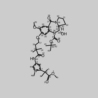 COC(=O)C(C)(C)c1cc(NC(=O)C(C)(C)CCOc2cc3c(cc2OC)C(=O)N2CCC[C@H]2[C@H](O)N3C(=O)OC(C)(C)C)cn1C